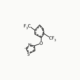 FC(F)(F)c1ccc(C(F)(F)F)c(Oc2cs[c]n2)c1